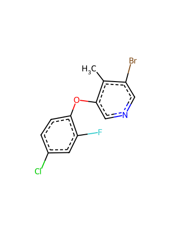 Cc1c(Br)cncc1Oc1ccc(Cl)cc1F